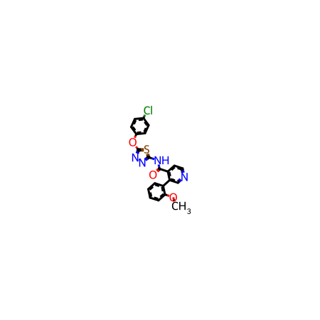 COc1ccccc1-c1cnccc1C(=O)Nc1nnc(Oc2ccc(Cl)cc2)s1